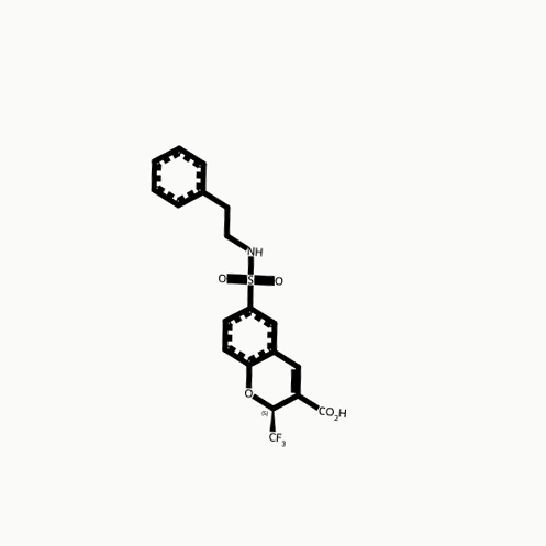 O=C(O)C1=Cc2cc(S(=O)(=O)NCCc3ccccc3)ccc2O[C@@H]1C(F)(F)F